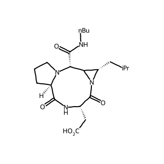 CCCCNC(=O)[C@@H]1C2[C@H](CC(C)C)N2C(=O)[C@H](CC(=O)O)NC(=O)[C@H]2CCCN21